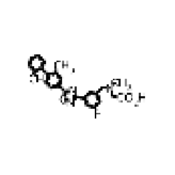 Cc1ccccc1-c1ccc(-c2nc(-c3cc(F)cc(CN(C)CC(=O)O)c3)no2)cc1C